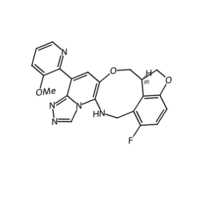 COc1cccnc1-c1cc2c(n3cnnc13)NCc1c(F)ccc3c1[C@H](CO3)CO2